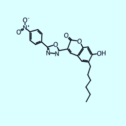 CCCCCCc1cc2cc(-c3nnc(-c4ccc([N+](=O)[O-])cc4)o3)c(=O)oc2cc1O